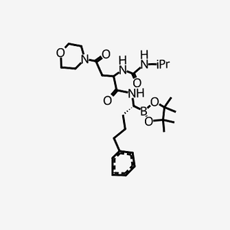 CC(C)NC(=O)NC(CC(=O)N1CCOCC1)C(=O)N[C@@H](CCCc1ccccc1)B1OC(C)(C)C(C)(C)O1